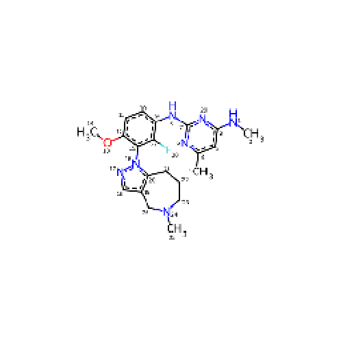 CNc1cc(C)nc(Nc2ccc(OC)c(-n3ncc4c3CCCN(C)C4)c2F)n1